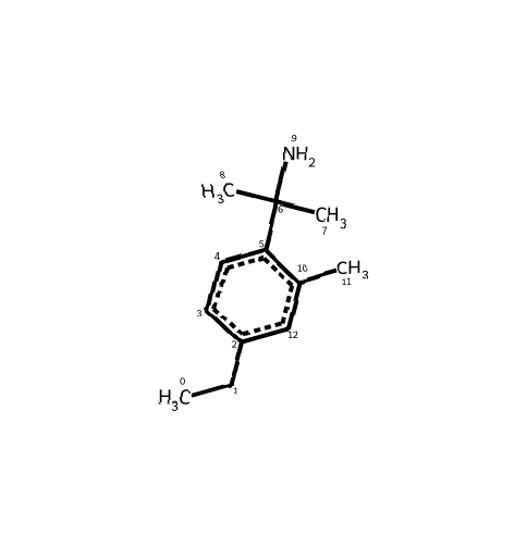 CCc1ccc(C(C)(C)N)c(C)c1